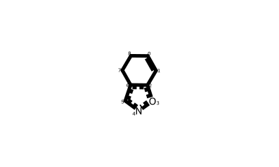 C1=Cc2oncc2CC1